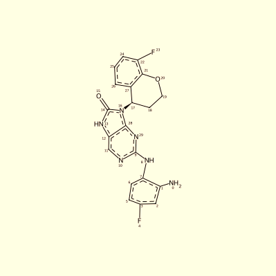 Nc1cc(F)ccc1Nc1ncc2[nH]c(=O)n([C@@H]3CCOc4c(F)cccc43)c2n1